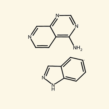 Nc1ncnc2cnccc12.[c]1ccc2[nH]ncc2c1